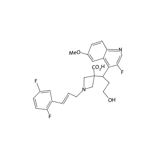 COc1ccc2ncc(F)c(C(CCO)C3(C(=O)O)CN(C/C=C/c4cc(F)ccc4F)C3)c2c1